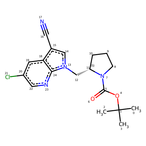 CC(C)(C)OC(=O)N1CCC[C@H]1Cn1cc(C#N)c2cc(Cl)cnc21